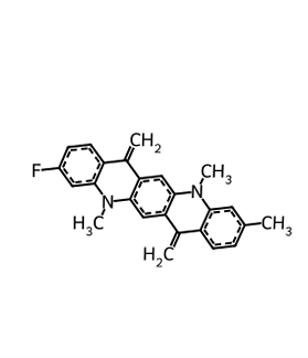 C=C1c2ccc(C)cc2N(C)c2cc3c(cc21)N(C)c1cc(F)ccc1C3=C